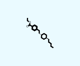 CCCCC[C@H]1CC[C@H](CCc2ccc(C(=O)OCC)cc2)CC1